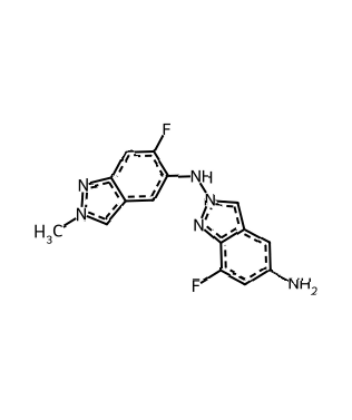 Cn1cc2cc(Nn3cc4cc(N)cc(F)c4n3)c(F)cc2n1